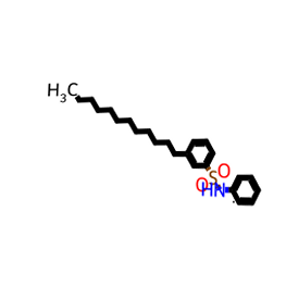 CCCCCCCCCCCCc1cccc(S(=O)(=O)Nc2[c]cccc2)c1